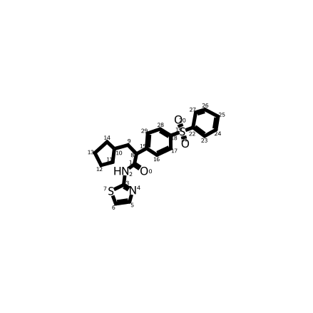 O=C(Nc1nccs1)C(CC1CCCC1)c1ccc(S(=O)(=O)c2ccccc2)cc1